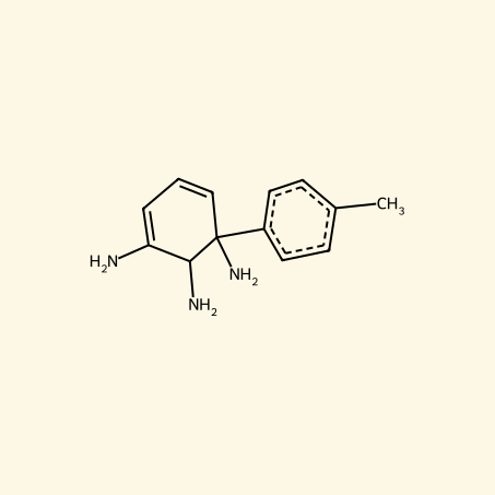 Cc1ccc(C2(N)C=CC=C(N)C2N)cc1